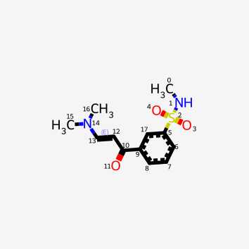 CNS(=O)(=O)c1cccc(C(=O)/C=C/N(C)C)c1